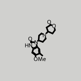 COc1cc2[nH]c(=O)n(C3CCN(C4CCOC(=O)C4)CC3)c2cc1C